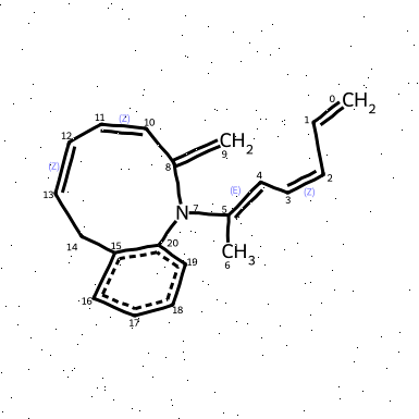 C=C/C=C\C=C(/C)N1C(=C)/C=C\C=C/Cc2ccccc21